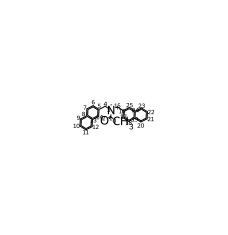 CC(=O)[N+](Cc1ccc2ccccc2c1)Cc1ccc2ccccc2c1